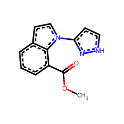 COC(=O)c1cccc2ccn(-c3cc[nH]n3)c12